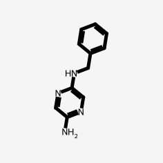 Nc1cnc(NCc2ccccc2)cn1